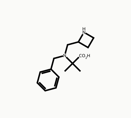 CC(C)(C(=O)O)N(Cc1ccccc1)CC1CCN1